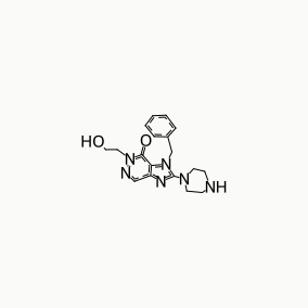 O=c1c2c(cnn1CCO)nc(N1CCNCC1)n2Cc1ccccc1